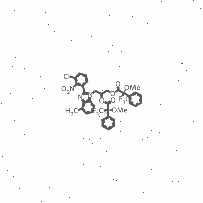 CO[C@@](C(=O)OCC(Cn1c(-c2cccc(Cl)c2[N+](=O)[O-])nc2c(C)cccc21)OC(=O)[C@](OC)(c1ccccc1)C(F)(F)F)(c1ccccc1)C(F)(F)F